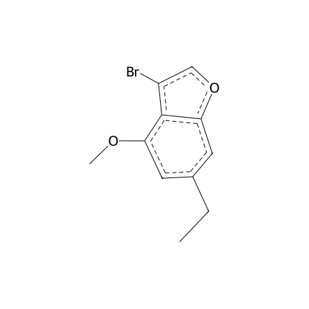 CCc1cc(OC)c2c(Br)coc2c1